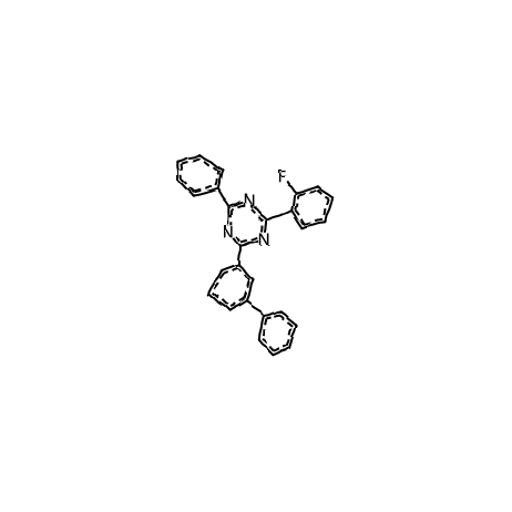 Fc1ccccc1-c1nc(-c2ccccc2)nc(-c2cccc(-c3ccccc3)c2)n1